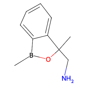 CB1OC(C)(CN)c2ccccc21